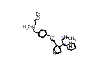 CCOCCN(C)Cc1ccc(N/C=C/c2cnccc2C(/C=N\C)=C2\C=CC=CN2)cc1